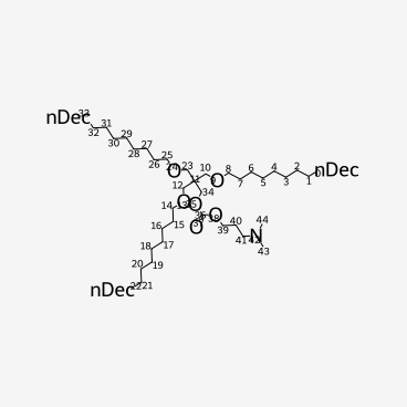 CCCCCCCCCCCCCCCCCCOCC(COCCCCCCCCCCCCCCCCCC)(COCCCCCCCCCCCCCCCCCC)COC(=O)OCCCN(C)C